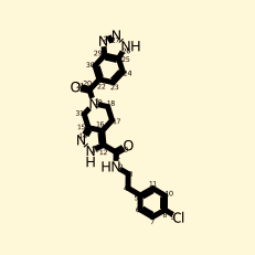 O=C(NCCc1ccc(Cl)cc1)c1[nH]nc2c1CCN(C(=O)c1ccc3[nH]nnc3c1)C2